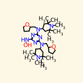 CN1C(C)(C)CC(N(CC2CCCO2)c2nc(NO)nc(N(CC3CCCO3)C3CC(C)(C)N(C)C(C)(C)C3)n2)CC1(C)C